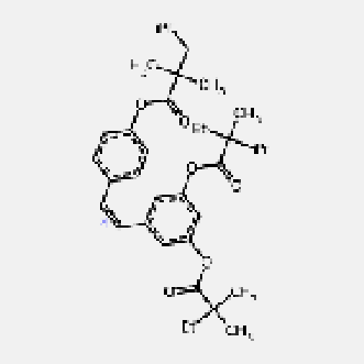 CCC(C)(C)C(=O)Oc1cc(/C=C\c2ccc(OC(=O)C(C)(C)CC(C)C)cc2)cc(OC(=O)C(C)(CC)C(C)C)c1